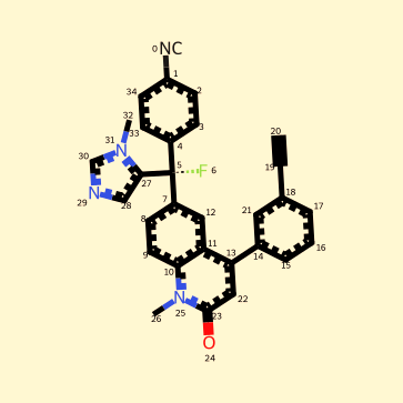 [C-]#[N+]c1ccc([C@@](F)(c2ccc3c(c2)c(-c2cccc(C#C)c2)cc(=O)n3C)c2cncn2C)cc1